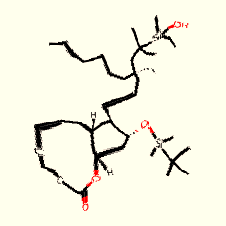 CCCCC[C@](C)(/C=C/[C@@H]1[C@H]2C/C=C\CCCC(=O)O[C@H]2C[C@H]1O[Si](C)(C)C(C)(C)C)CC(C)(C)[Si](C)(C)O